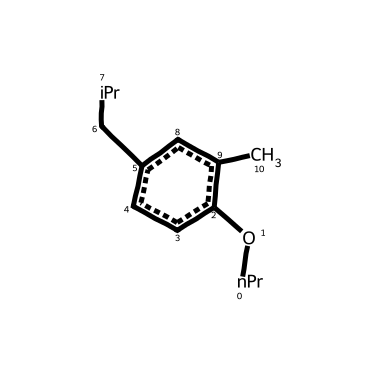 CCCOc1ccc(CC(C)C)cc1C